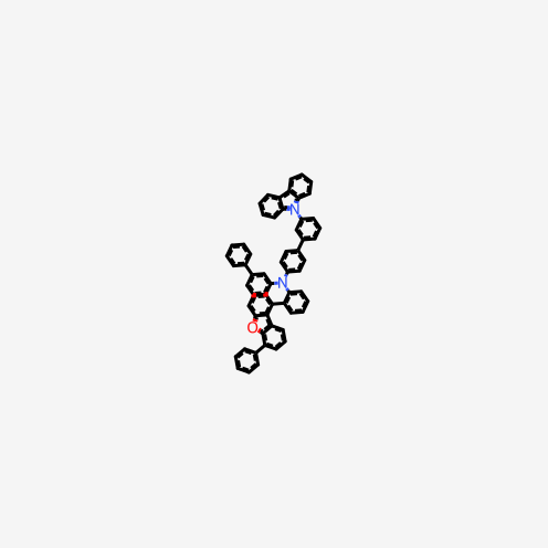 c1ccc(-c2cccc(N(c3ccc(-c4cccc(-n5c6ccccc6c6ccccc65)c4)cc3)c3ccccc3-c3cccc4oc5c(-c6ccccc6)cccc5c34)c2)cc1